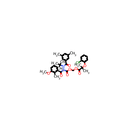 COc1cccc(C(=O)N(C(=O)OCOC(=O)C(C)(C)Oc2ccccc2Cl)N(C(=O)c2cc(C)cc(C)c2)C(C)(C)C)c1C